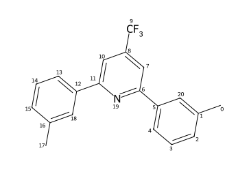 Cc1cccc(-c2cc(C(F)(F)F)cc(-c3cccc(C)c3)n2)c1